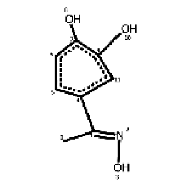 CC(=NO)c1ccc(O)c(O)c1